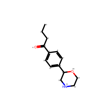 CCCC(=O)c1ccc(C2CNCCO2)cc1